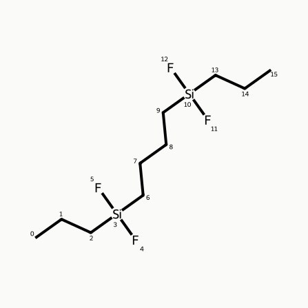 CCC[Si](F)(F)CCCC[Si](F)(F)CCC